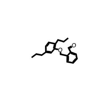 CCCc1ccc(CCC)c(OCc2ccccc2C=O)c1